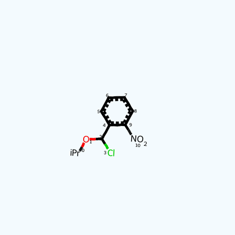 CC(C)OC(Cl)c1ccccc1[N+](=O)[O-]